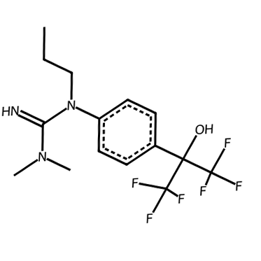 CCCN(C(=N)N(C)C)c1ccc(C(O)(C(F)(F)F)C(F)(F)F)cc1